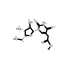 COC(=O)Cc1cn([C@@H]2O[C@H](CO)[C@H](O)C2O)c(=O)[nH]c1=O